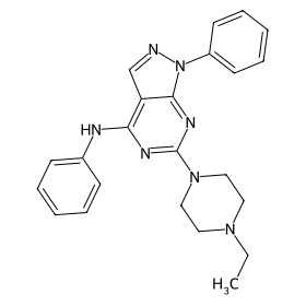 CCN1CCN(c2nc(Nc3ccccc3)c3cnn(-c4ccccc4)c3n2)CC1